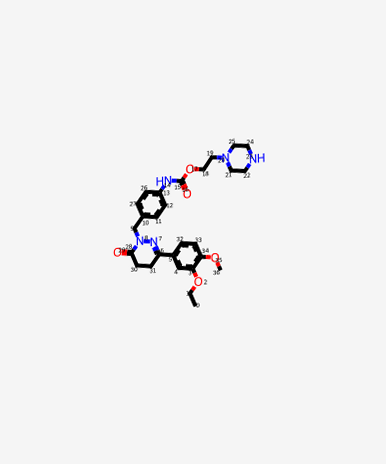 CCOc1cc(C2=NN(Cc3ccc(NC(=O)OCCN4CCNCC4)cc3)C(=O)CC2)ccc1OC